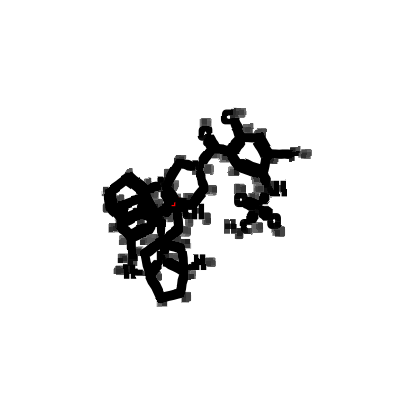 Cc1nc2ccccc2n1[C@H]1C[C@H]2CC[C@@H](C1)N2CCC1(c2cccc(F)c2)CCN(C(=O)c2cc(NS(C)(=O)=O)c(F)cc2Cl)CC1